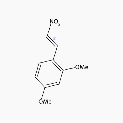 COc1ccc(/C=C/[N+](=O)[O-])c(OC)c1